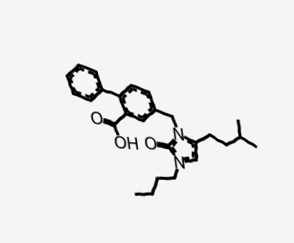 CCCCn1cc(CCC(C)C)n(Cc2ccc(-c3ccccc3)c(C(=O)O)c2)c1=O